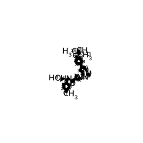 Cc1ccc([C@H](CCO)NC(=O)C2CN(c3ncnn4cc(-c5ccc(OC(C)(C)C)cc5)cc34)C2)cc1